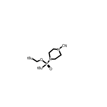 CC(C)(C)COP(=O)(N1CCN(C#N)CC1)C(C)(C)C